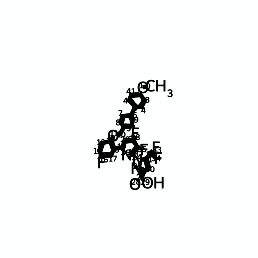 COc1ccc(-c2ccc(COc3ccc(F)cc3-c3cccc(-n4nc(C(=O)O)cc4C(F)(F)F)n3)c(F)c2)cc1